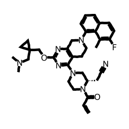 C=CC(=O)N1CCN(c2nc(OCC3(CN(C)C)CC3)nc3c2CCN(c2cccc4ccc(F)c(C)c24)C3)C[C@@H]1CC#N